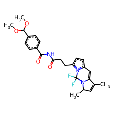 COC(OC)c1ccc(C(=O)NC(=O)CCc2ccc3n2C(F)(F)N2C(=C3)C(C)=CC2C)cc1